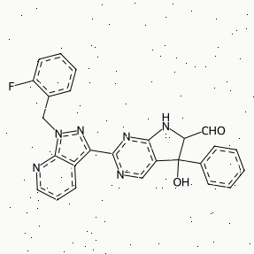 O=CC1Nc2nc(-c3nn(Cc4ccccc4F)c4ncccc34)ncc2C1(O)c1ccccc1